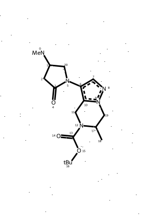 CNC1CC(=O)N(c2cnn3c2CN(C(=O)OC(C)(C)C)C(C)C3)C1